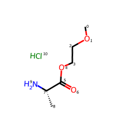 COCCOC(=O)[C@H](C)N.Cl